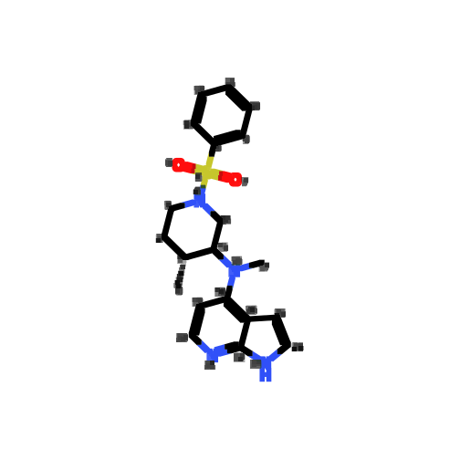 C[C@@H]1CCN(S(=O)(=O)c2ccccc2)CC1N(C)c1ccnc2[nH]ccc12